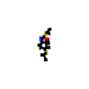 C=CSc1nc2ccc(SCC)cc2o1